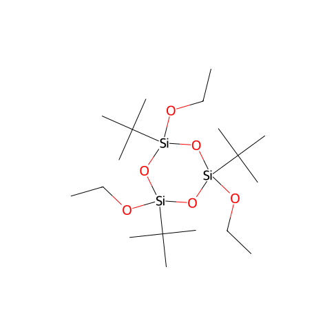 CCO[Si]1(C(C)(C)C)O[Si](OCC)(C(C)(C)C)O[Si](OCC)(C(C)(C)C)O1